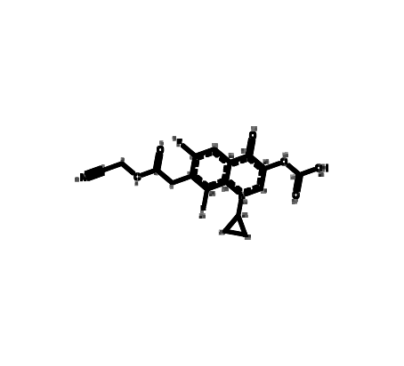 N#CCOC(=O)Cc1c(F)cc2c(=O)c(OC(=O)O)cn(C3CC3)c2c1F